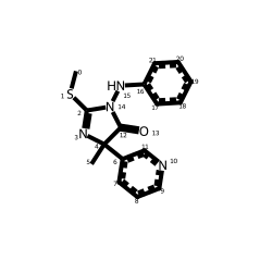 CSC1=NC(C)(c2cccnc2)C(=O)N1Nc1ccccc1